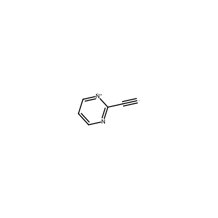 [C]#CC1=NC=CC=[N+]1